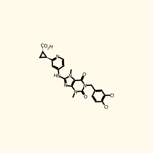 Cn1c(Nc2ccnc([C@H]3C[C@@H]3C(=O)O)c2)nc2c1c(=O)n(Cc1ccc(Cl)c(Cl)c1)c(=O)n2C